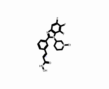 CCN1CCCC(n2c(-c3cccc(/C=C/C(=O)NO)c3)nc3cc(F)c(F)c(F)c32)C1